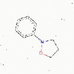 c1ccc(N2CCCO2)cc1